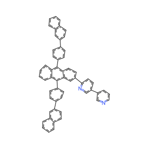 c1cncc(-c2ccc(-c3ccc4c(-c5ccc(-c6ccc7ccccc7c6)cc5)c5ccccc5c(-c5ccc(-c6ccc7ccccc7c6)cc5)c4c3)nc2)c1